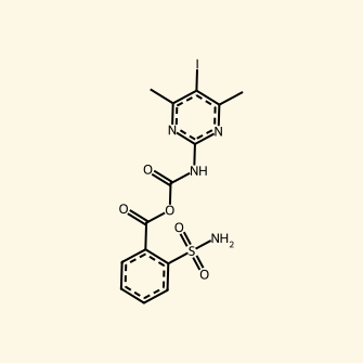 Cc1nc(NC(=O)OC(=O)c2ccccc2S(N)(=O)=O)nc(C)c1I